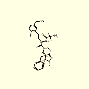 CN1N=C2CCN(C(=O)[C@@H](CCc3cc(CO)ccc3F)NC(=O)C(C)(C)N)C[C@@]2(Cc2ccccc2)C1=O